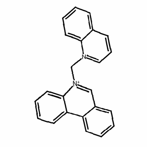 c1ccc2c(c1)c[n+](C[n+]1cccc3ccccc31)c1ccccc21